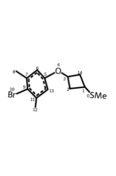 CSC1CC(Oc2cc(C)c(Br)c(C)c2)C1